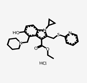 CCOC(=O)c1c(CSc2ccccn2)n(C2CC2)c2ccc(O)c(CN3CCCCC3)c12.Cl